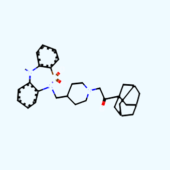 CN1c2ccccc2N(CC2CCN(CC(=O)C34CC5CC(CC(C5)C3)C4)CC2)S(=O)(=O)c2ccccc21